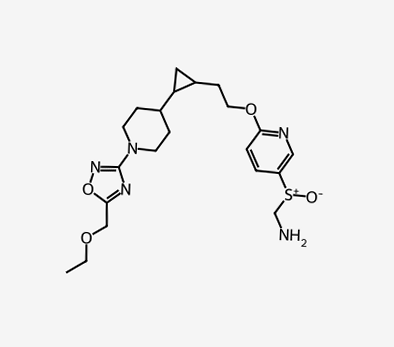 CCOCc1nc(N2CCC(C3CC3CCOc3ccc([S+]([O-])CN)cn3)CC2)no1